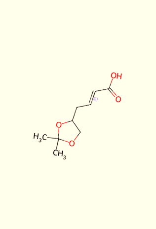 CC1(C)OCC(C/C=C/C(=O)O)O1